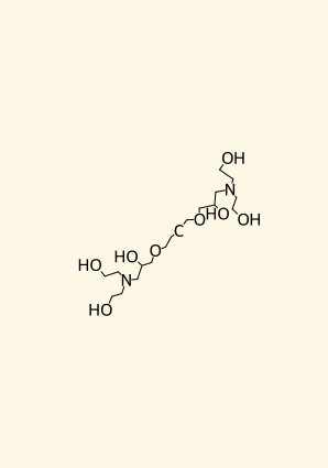 OCCN(CCO)CC(O)COCCCCOCC(O)CN(CCO)CCO